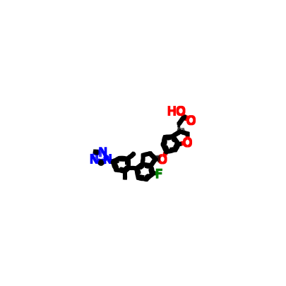 Cc1cc(-n2cncn2)cc(C)c1-c1ccc(F)c2c1CC[C@H]2Oc1ccc2c(c1)OC[C@H]2CC(=O)O